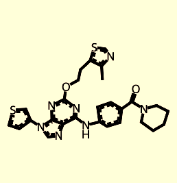 Cc1ncsc1CCOc1nc(Nc2ccc(C(=O)N3CCCCC3)cc2)c2ncn(-c3ccsc3)c2n1